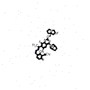 C#Cc1c(F)ccc(/C=C\C=C(/C)c2c(F)cc3c(N4CC5CCC(C4)N5)nc(OC[C@@]45CCCN4C[C@H](F)C5)nc3c2F)c1C